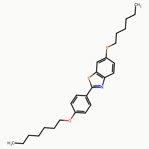 CCCCCCCOc1ccc(-c2nc3ccc(SCCCCCC)cc3s2)cc1